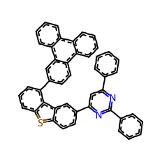 c1ccc(-c2cc(-c3ccc4sc5cccc(-c6ccc7c8ccccc8c8ccccc8c7c6)c5c4c3)nc(-c3ccccc3)n2)cc1